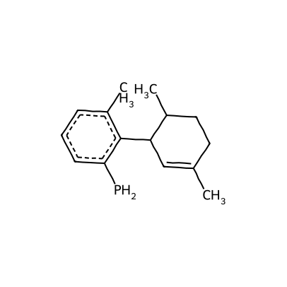 CC1=CC(c2c(C)cccc2P)C(C)CC1